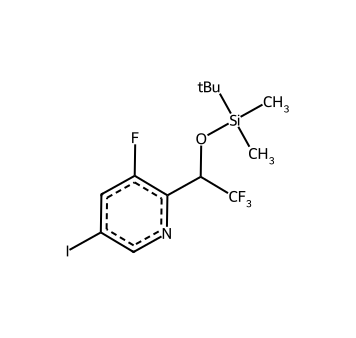 CC(C)(C)[Si](C)(C)OC(c1ncc(I)cc1F)C(F)(F)F